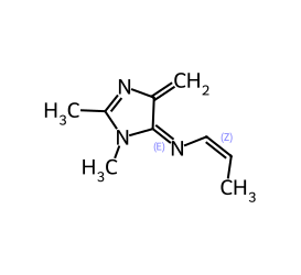 C=C1N=C(C)N(C)/C1=N/C=C\C